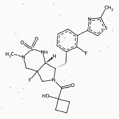 Cc1nc(-c2cccc(C[C@H]3[C@H]4NS(=O)(=O)N(C)CC4(F)CN3C(=O)C3(O)CCC3)c2F)cs1